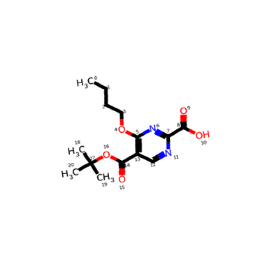 CCCCOc1nc(C(=O)O)ncc1C(=O)OC(C)(C)C